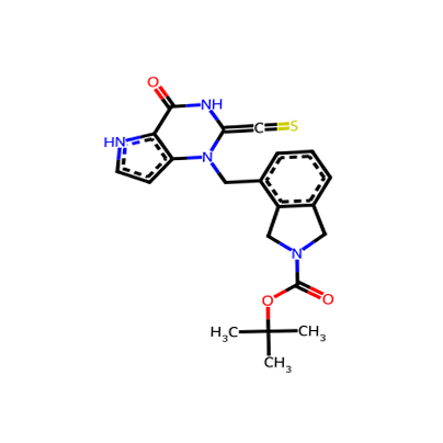 CC(C)(C)OC(=O)N1Cc2cccc(CN3C(=C=S)NC(=O)c4[nH]ccc43)c2C1